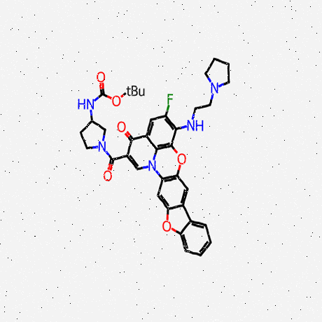 CC(C)(C)OC(=O)NC1CCN(C(=O)c2cn3c4c(c(NCCN5CCCC5)c(F)cc4c2=O)Oc2cc4c(cc2-3)oc2ccccc24)C1